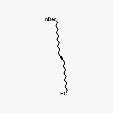 CCCCCCCCCCCCCCCCCCCCC#CCCCCCCCCCO